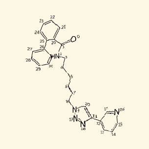 O=C(NCCCCCCn1cc(-c2cccnc2)nn1)c1ccccc1-c1ccccc1